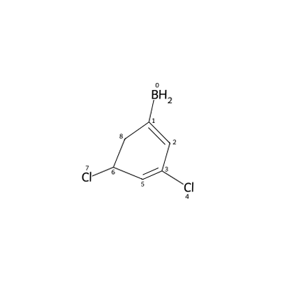 BC1=CC(Cl)=CC(Cl)C1